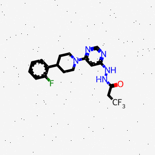 O=C(CC(F)(F)F)NNc1cc(N2CCC(c3ccccc3F)CC2)ncn1